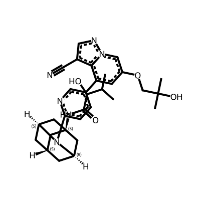 CC(C)C(O)C(=O)N[C@]12C[C@@H]3C[C@H](C1)N(c1ccc(-c4cc(OCC(C)(C)O)cn5ncc(C#N)c45)cn1)[C@@H](C3)C2